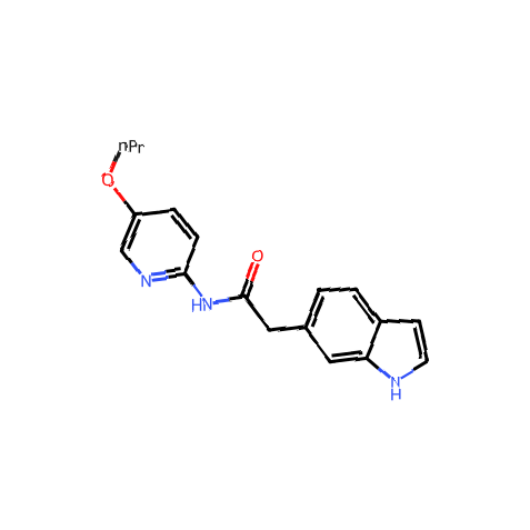 CCCOc1ccc(NC(=O)Cc2ccc3cc[nH]c3c2)nc1